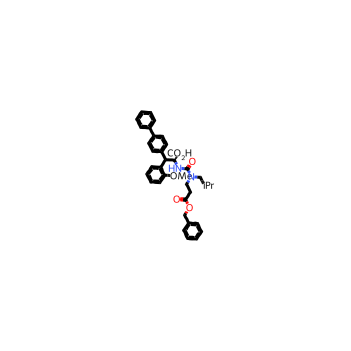 COc1ccccc1C(c1ccc(-c2ccccc2)cc1)[C@H](NC(=O)N(CCC(=O)OCc1ccccc1)CC(C)C)C(=O)O